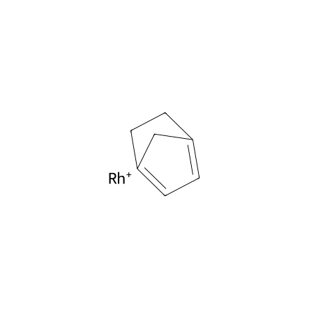 C1=C2CCC(=C1)C2.[Rh+]